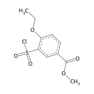 CCOc1ccc(C(=O)OC)cc1S(=O)(=O)Cl